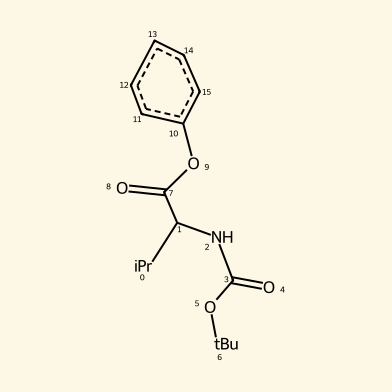 CC(C)C(NC(=O)OC(C)(C)C)C(=O)Oc1ccccc1